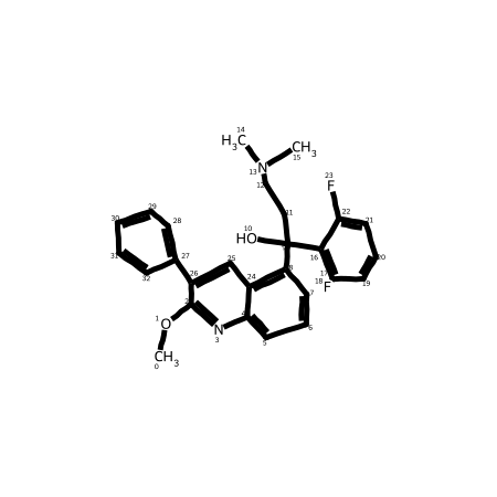 COc1nc2cccc(C(O)(CCN(C)C)c3c(F)cccc3F)c2cc1-c1ccccc1